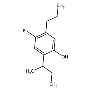 CCCc1cc(O)c(C(C)CC)cc1Br